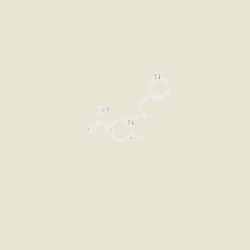 C[C@@H]1CC[C@H](C(=O)O)CN1C(=O)Cc1cccnc1